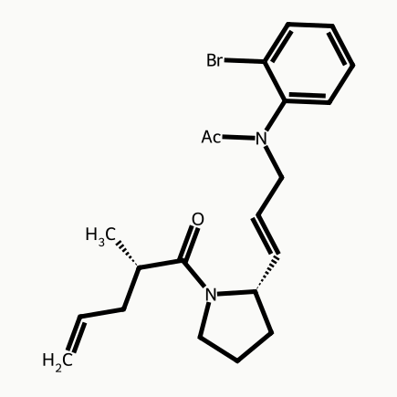 C=CC[C@H](C)C(=O)N1CCC[C@H]1/C=C/CN(C(C)=O)c1ccccc1Br